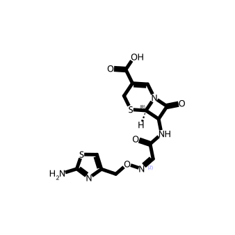 Nc1nc(CO/N=C\C(=O)NC2C(=O)N3C=C(C(=O)O)CS[C@H]23)cs1